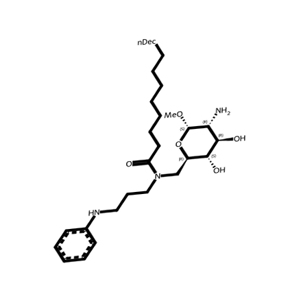 CCCCCCCCCCCCCCCCCC(=O)N(CCCNc1ccccc1)C[C@H]1O[C@H](OC)[C@H](N)[C@@H](O)[C@@H]1O